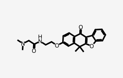 CN(C)CC(=O)NCCOc1ccc2c(c1)C(C)(C)c1oc3ccccc3c1C2=O